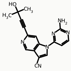 CC(C)(O)C#Cc1cc2c(cn1)c(C#N)cn2-c1ccnc(N)n1